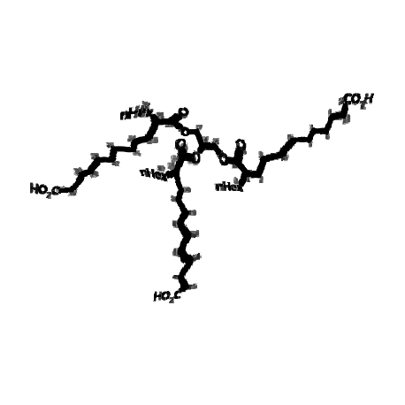 CCCCCCC(CCCCCCCCCC(=O)O)C(=O)OCC(COC(=O)C(CCCCCC)CCCCCCCCCC(=O)O)OC(=O)C(CCCCCC)CCCCCCCCCC(=O)O